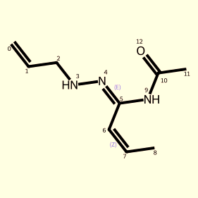 C=CCN/N=C(\C=C/C)NC(C)=O